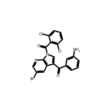 Nc1cccc(C(=O)c2cn(C(=O)c3c(Cl)cccc3Cl)c3ncc(Br)cc23)c1